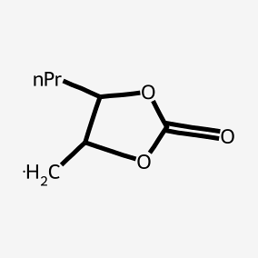 [CH2]C1OC(=O)OC1CCC